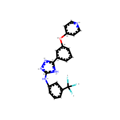 FC(F)(F)c1cccc(Nc2nnc(-c3cccc(Oc4ccncc4)c3)[nH]2)c1